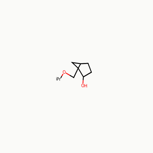 CC(C)OCC12CC1CCC2O